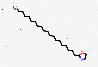 CCCCCCCCCCCCCCCCCCCCC1=NCCO1